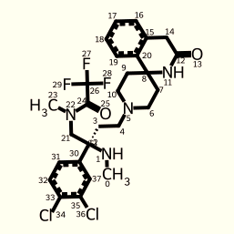 CN[C@](CCN1CCC2(CC1)NC(=O)Cc1ccccc12)(CN(C)C(=O)C(F)(F)F)c1ccc(Cl)c(Cl)c1